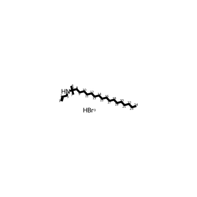 Br.C=CCNC(C)(C)CCCCCCCCCCCCCCCCC